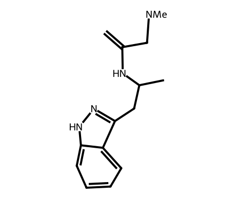 C=C(CNC)NC(C)Cc1n[nH]c2ccccc12